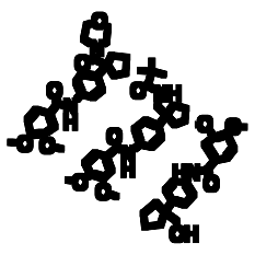 COc1ccc(C(=O)Nc2ccc(C3(C(=O)N4CCOCC4)CCCC3)cc2)cc1OC.COc1ccc(C(=O)Nc2ccc(C3(CNC(=O)C(C)(C)C)CCCC3)cc2)cc1OC.COc1ccc(C(=O)Nc2ccc(C3(CO)CCCC3)cc2)cc1OC